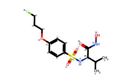 CC(C)[C@@H](NS(=O)(=O)c1ccc(OCCCF)cc1)C(=O)NO